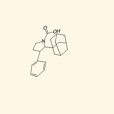 O=C(O)N1CCC(c2ccccc2)C1C12CC3CC(CC(C3)C1)C2